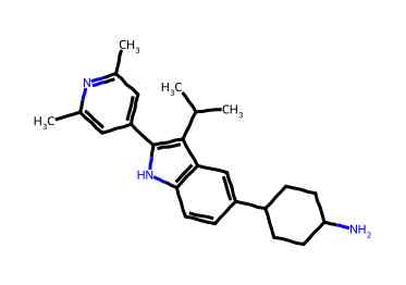 Cc1cc(-c2[nH]c3ccc(C4CCC(N)CC4)cc3c2C(C)C)cc(C)n1